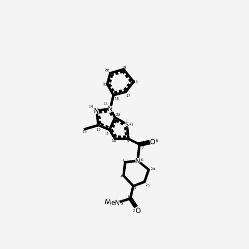 CNC(=O)C1CCN(C(=O)c2cc3c(C)nn(-c4ccccc4)c3s2)CC1